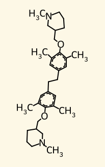 Cc1cc(CCc2cc(C)c(OCC3CCCN(C)C3)c(C)c2)cc(C)c1OCC1CCCN(C)C1